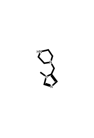 Cn1cncc1CN1CCNCC1